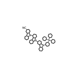 N#Cc1ccc2c(c1)c1ccccc1n2-c1cccc2c1c1ccccc1n2-c1ccc2c(c1)c1ccccc1n2-c1cccc([Si](c2ccccc2)(c2ccccc2)c2ccccc2)c1